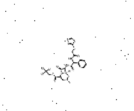 CC1C=C(C(=O)OCC(Cl)(Cl)Cl)N2C(=O)C(NC(=O)C(NC(=O)CSc3nncs3)c3ccccc3)[C@H]2S1